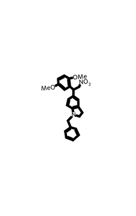 COc1ccc(OC)c(C(C[N+](=O)[O-])c2ccc3c(c2)CCN3Cc2ccccc2)c1